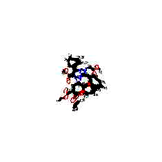 CCOC(=O)C(CC(c1ccccc1)N1C(C(=O)OC)C(c2ccccc2)N(CC(=O)OC)C1c1ccccc1)C(=O)OCC